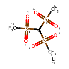 O=S(=O)(C(S(=O)(=O)C(F)(F)F)S(=O)(=O)C(F)(F)F)C(F)(F)F.[Li]